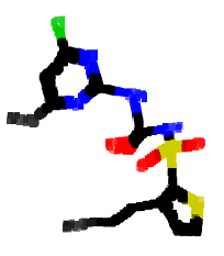 COCCc1ccsc1S(=O)(=O)NC(=O)Nc1nc(Cl)cc(OC)n1